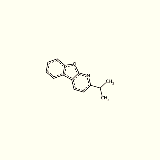 CC(C)c1ccc2c(n1)oc1ccccc12